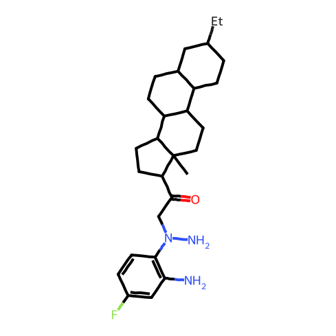 CCC1CCC2C(CCC3C2CCC2(C)C(C(=O)CN(N)c4ccc(F)cc4N)CCC32)C1